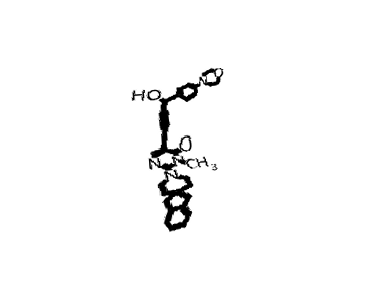 Cn1c(N2CCC3(CC2)Cc2ccccc2C3)ncc(C#CC(O)c2ccc(N3CCOCC3)cc2)c1=O